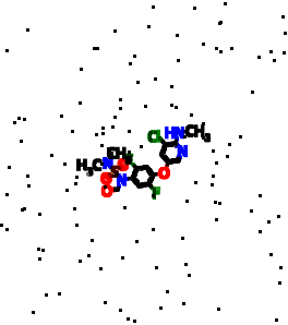 CNc1ncc(Oc2cc(F)c(N(C=O)S(=O)(=O)N(C)C)cc2F)cc1Cl